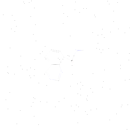 CNC(=O)c1cccc2cncnc12